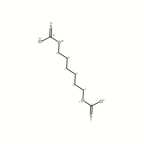 S=C(Cl)OCCCCCCOC(=S)Cl